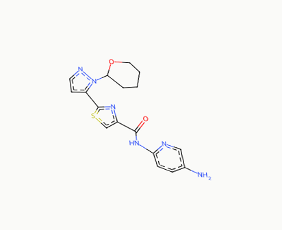 Nc1ccc(NC(=O)c2csc(-c3ccnn3C3CCCCO3)n2)nc1